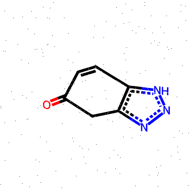 O=C1C=Cc2[nH]nnc2C1